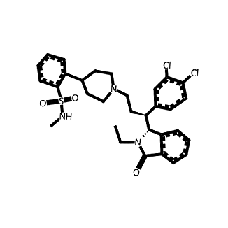 CCN1C(=O)c2ccccc2[C@H]1[C@@H](CCN1CCC(c2ccccc2S(=O)(=O)NC)CC1)c1ccc(Cl)c(Cl)c1